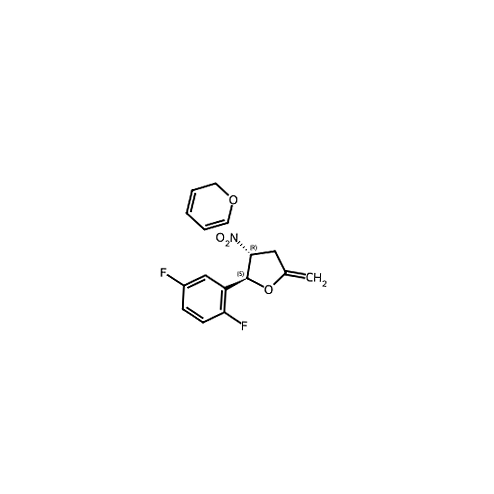 C1=CCOC=C1.C=C1C[C@@H]([N+](=O)[O-])[C@H](c2cc(F)ccc2F)O1